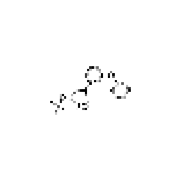 CC(C)(C)OC(=O)CN(C=O)c1cccc(Oc2ccccc2)c1